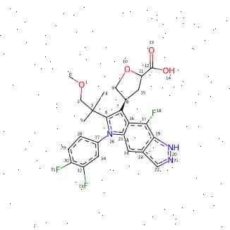 COCC(C)(C)c1c([C@H]2COC(C(=O)O)C2)c2c(F)c3[nH]ncc3cc2n1-c1ccc(F)c(F)c1